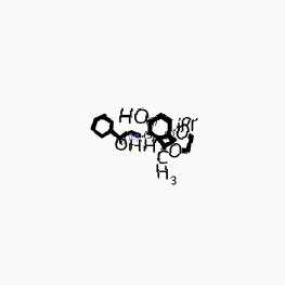 CC1[C@H]2[C@H](/C=C/[C@@H](O)C3CCCCC3)[C@@H](O)CC[C@@]2(C(C)C)C12OCCO2